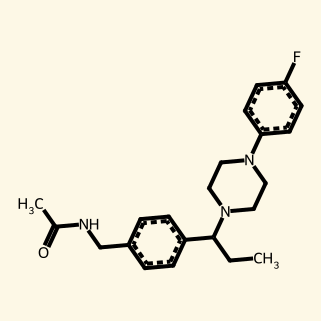 CCC(c1ccc(CNC(C)=O)cc1)N1CCN(c2ccc(F)cc2)CC1